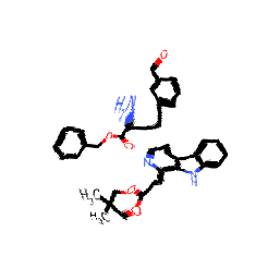 CC1(C)COC(Cc2nccc3c2[nH]c2ccccc23)OC1.NC(Cc1cccc(C=O)c1)C(=O)OCc1ccccc1